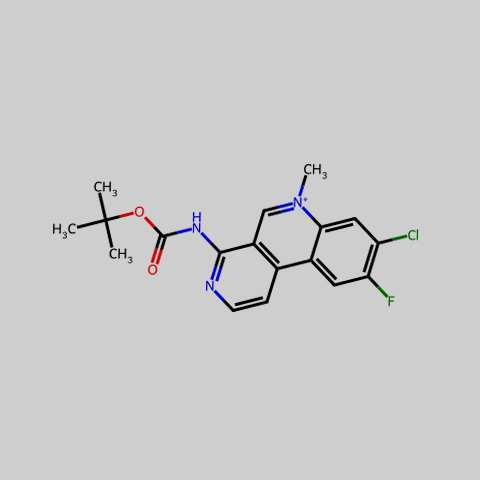 C[n+]1cc2c(NC(=O)OC(C)(C)C)nccc2c2cc(F)c(Cl)cc21